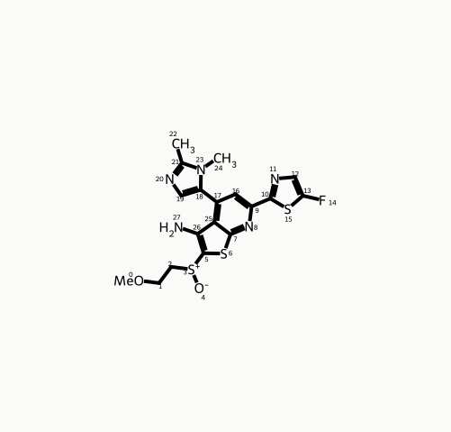 COCC[S+]([O-])c1sc2nc(-c3ncc(F)s3)cc(-c3cnc(C)n3C)c2c1N